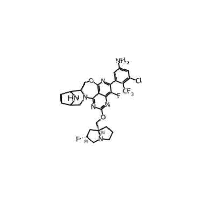 Nc1cc(Cl)c(C(F)(F)F)c(-c2nc3c4c(nc(OC[C@@]56CCCN5C[C@H](F)C6)nc4c2F)N2CC4CCC(N4)C2CO3)c1